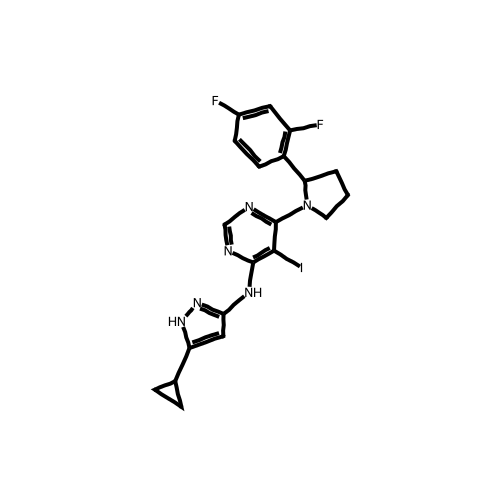 Fc1ccc(C2CCCN2c2ncnc(Nc3cc(C4CC4)[nH]n3)c2I)c(F)c1